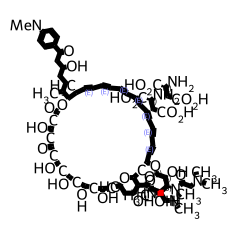 CNc1ccc(C(=O)CC(O)CCC(C)C2OC(=O)CC(O)CC(=O)CC(O)CC(O)CC(O)CC(O)CC3(O)CC(O)C(C(=O)NCCN(C)C)C(CC(O[C@@H]4O[C@H](C)[C@@H](O)[C@H](NC(=O)CN(C)C)[C@@H]4O)/C=C/C=C/C=C/C=C/C=C/C=C/C=C/C2C)O3)cc1.N[C@@H](CC(=O)O)C(=O)O.N[C@@H](CC(=O)O)C(=O)O